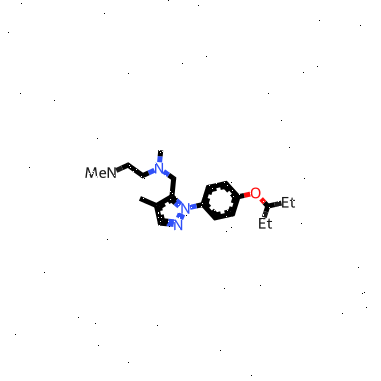 CCC(CC)Oc1ccc(-n2ncc(C)c2CN(C)CCNC)cc1